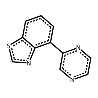 [c]1nc2c(-c3cnccn3)cccc2s1